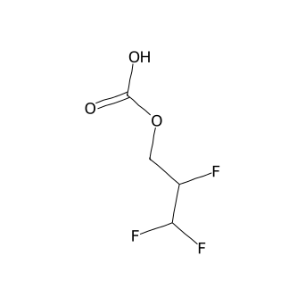 O=C(O)OCC(F)C(F)F